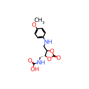 COc1ccc(NCC2OC(=O)O[C@@H]2CNC(=O)O)cc1